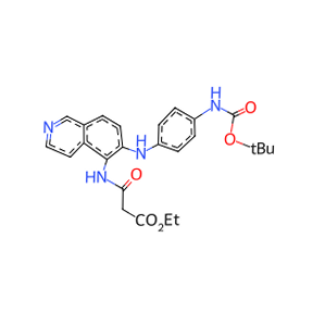 CCOC(=O)CC(=O)Nc1c(Nc2ccc(NC(=O)OC(C)(C)C)cc2)ccc2cnccc12